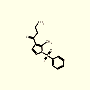 CCCC(=O)c1ccn(S(=O)(=O)c2ccccc2)c1C